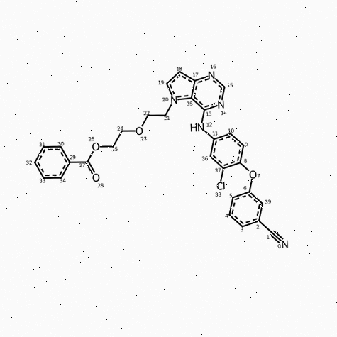 N#Cc1cccc(Oc2ccc(Nc3ncnc4ccn(CCOCCOC(=O)c5ccccc5)c34)cc2Cl)c1